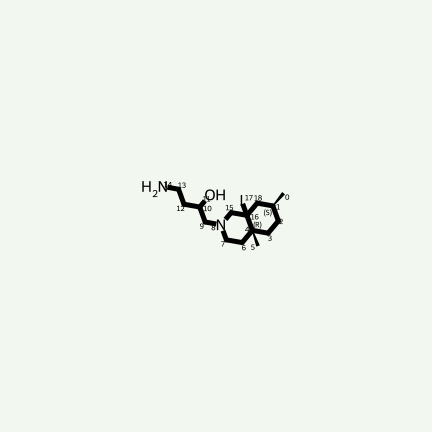 C[C@H]1CC[C@]2(C)CCN(CC(O)CCN)CC2(I)C1